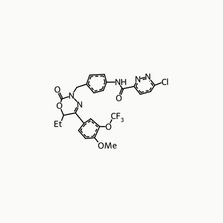 CCC1OC(=O)N(Cc2ccc(NC(=O)c3ccc(Cl)nn3)cc2)N=C1c1ccc(OC)c(OC(F)(F)F)c1